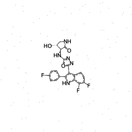 O=C1NC[C@@H](O)[C@@H]1Nc1nnc(-c2c(-c3ccc(F)cc3)[nH]c3c(F)c(F)ccc23)o1